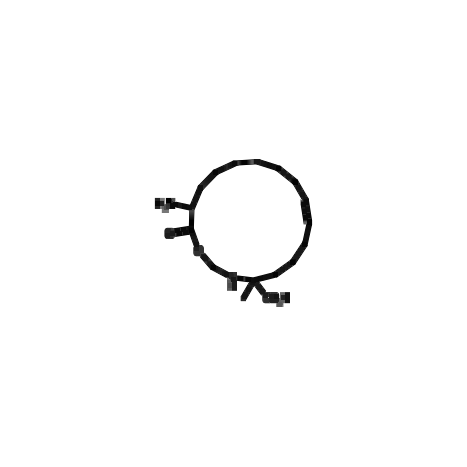 CC1(C(=O)O)CCC/C=C\CCCCCCC(N)C(=O)OCN1